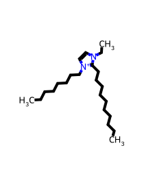 CCCCCCCCCCc1n(CC)cc[n+]1CCCCCCCC